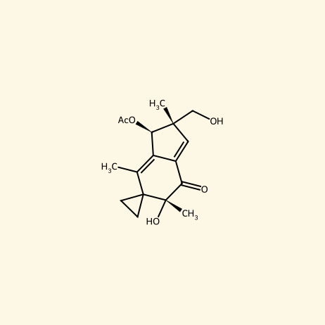 CC(=O)O[C@@H]1C2=C(C)C3(CC3)[C@@](C)(O)C(=O)C2=C[C@@]1(C)CO